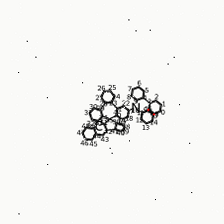 c1ccc(-c2ccccc2N(c2ccccc2)c2ccc3c(c2)-c2ccccc2-c2ccccc2C32c3ccccc3-c3cc4ccccc4cc32)cc1